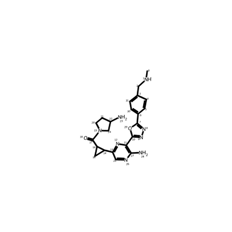 CNCc1ccc(-c2nnc(-c3nc(C4CC4C(=O)N4CCC(N)C4)cnc3N)o2)cc1